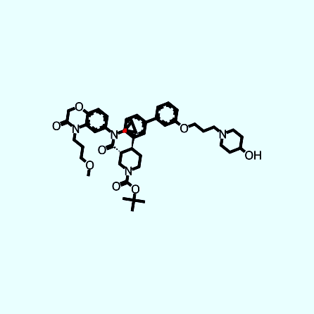 COCCCN1C(=O)COc2ccc(N(C(=O)[C@H]3CN(C(=O)OC(C)(C)C)CC[C@@H]3c3cccc(-c4cccc(OCCCN5CCC(O)CC5)c4)c3)C3CC3)cc21